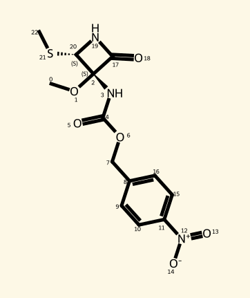 CO[C@@]1(NC(=O)OCc2ccc([N+](=O)[O-])cc2)C(=O)N[C@H]1SC